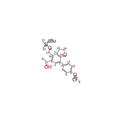 CC(O)c1cc(-c2ccc(OC(F)(F)F)cc2)c2c(c1CO[Si](C)(C)C(C)(C)C)CCO2